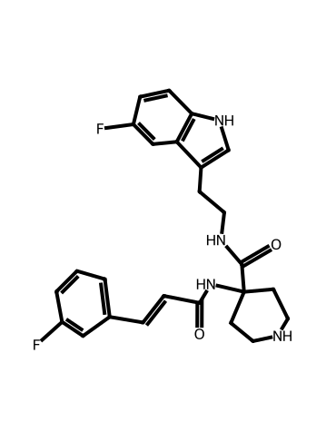 O=C(/C=C/c1cccc(F)c1)NC1(C(=O)NCCc2c[nH]c3ccc(F)cc23)CCNCC1